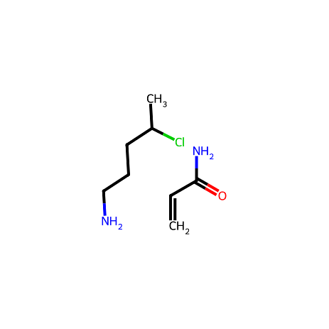 C=CC(N)=O.CC(Cl)CCCN